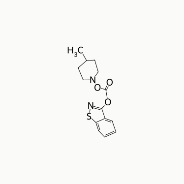 CC1CCN(OC(=O)Oc2nsc3ccccc23)CC1